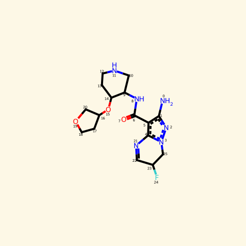 Nc1nn2c(c1C(=O)NC1CNCCC1OC1CCOC1)N=CC(F)C2